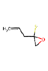 C=CCC1([S])CO1